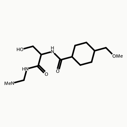 CNCNC(=O)C(CO)NC(=O)C1CCC(COC)CC1